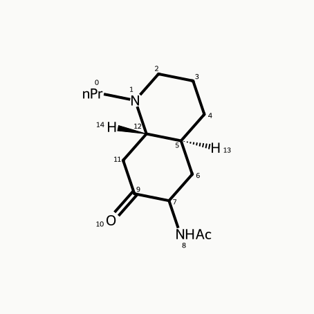 CCCN1CCC[C@H]2CC(NC(C)=O)C(=O)C[C@@H]21